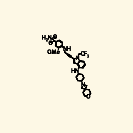 COc1cc(S(N)(=O)=O)ccc1NCC#Cc1cc2c(N[C@H]3CC[C@@H](N4CC5(CCOCC5)C4)CC3)cccc2n1CC(F)(F)F